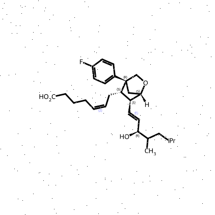 CC(C)CC(C)[C@@H](O)/C=C/[C@@H]1[C@@H]2C[C@@](c3ccc(F)cc3)(CO2)[C@H]1C/C=C\CCCC(=O)O